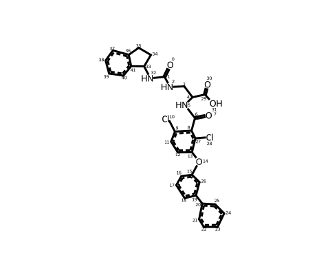 O=C(NCC(NC(=O)c1c(Cl)ccc(Oc2cccc(-c3ccccc3)c2)c1Cl)C(=O)O)NC1CCc2ccccc21